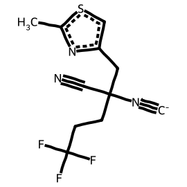 [C-]#[N+]C(C#N)(CCC(F)(F)F)Cc1csc(C)n1